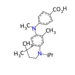 Cc1cc2c(cc1N(C)c1ccc(C(=O)O)cc1)C(C)(C)CCN2C(C)C